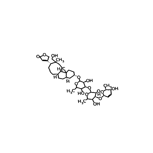 CC1OC(O[C@H]2CCC3(C)C4CCC(C)(CO)[C@@H](C5=CC(=O)OC5)CCC[C@@H]4CC[C@@H]3C2)[C@@H](O)[C@@H](OC2OC(C)C(O)[C@H](O[C@@H]3C=C[C@H](O)[C@H](C)O3)[C@@H]2O)C1O